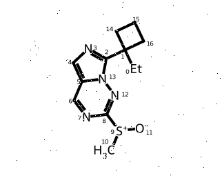 CCC1(c2ncc3cnc([S+](C)[O-])nn23)CCC1